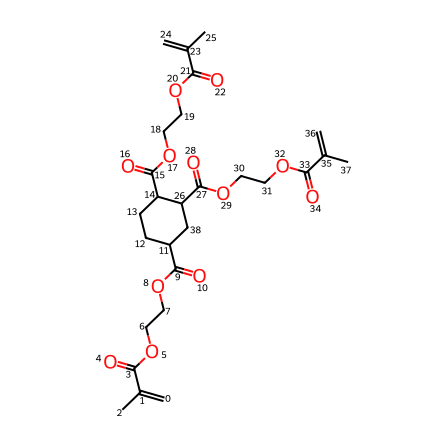 C=C(C)C(=O)OCCOC(=O)C1CCC(C(=O)OCCOC(=O)C(=C)C)C(C(=O)OCCOC(=O)C(=C)C)C1